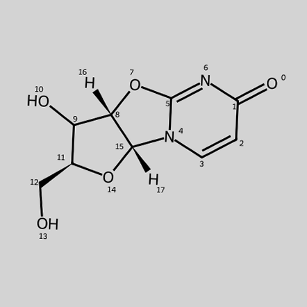 O=c1ccn2c(n1)O[C@H]1C(O)[C@H](CO)O[C@H]12